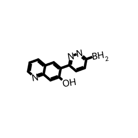 Bc1ccc(-c2cc3cccnc3cc2O)nn1